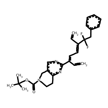 C=C/C(=C\C=C(/C=C)C(F)(F)Cc1ccccc1)c1ncc2c(n1)CCN(C(=O)OC(C)(C)C)C2